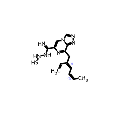 C=C/C(=C\C=C/C)Cc1nc(C(=N)NNS)cn2cnnc12